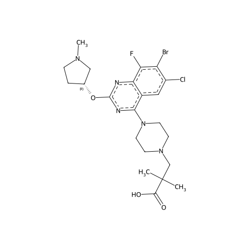 CN1CC[C@@H](Oc2nc(N3CCN(CC(C)(C)C(=O)O)CC3)c3cc(Cl)c(Br)c(F)c3n2)C1